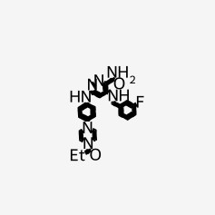 CCC(=O)N1CCN(c2ccc(Nc3cc(NCc4cccc(F)c4)c(C(N)=O)nn3)cc2)CC1